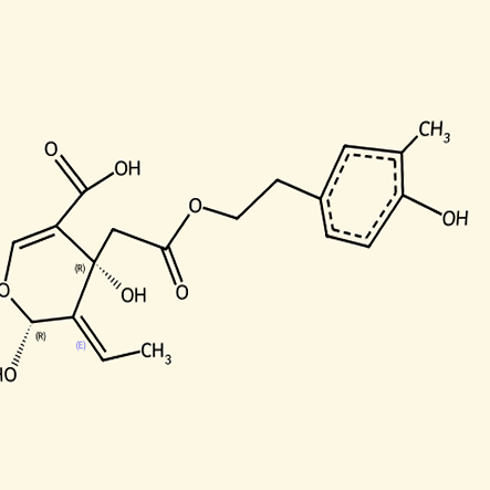 C/C=C1/[C@H](O)OC=C(C(=O)O)[C@@]1(O)CC(=O)OCCc1ccc(O)c(C)c1